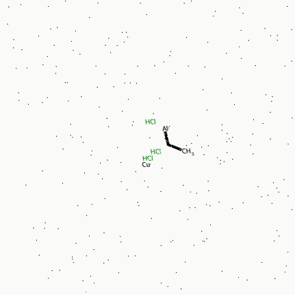 C[CH2][Al].Cl.Cl.Cl.[Cu]